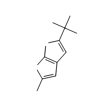 Cc1cc2cc(C(C)(C)C)oc2s1